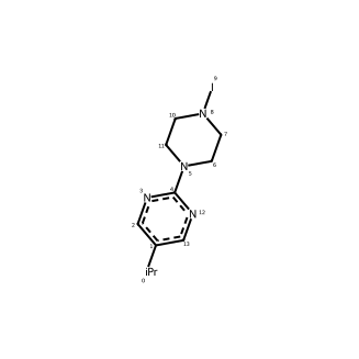 CC(C)c1cnc(N2CCN(I)CC2)nc1